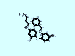 CCc1ccc(Oc2ccc(NCCCN)cc2F)c(OCc2ccccc2)c1